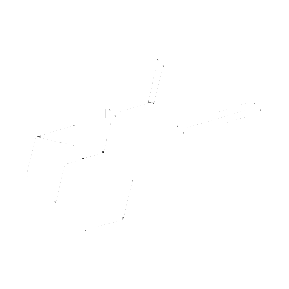 N#CNC(=N)NC12CC3CC(CC(C3)C1)C2